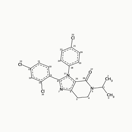 CC(C)N1CCc2nc(-c3ccc(Cl)cc3Cl)n(-c3ccc(Cl)cc3)c2C1=O